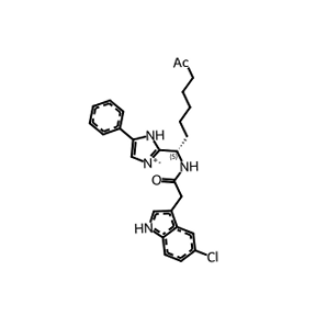 CC(=O)CCCCC[C@H](NC(=O)Cc1c[nH]c2ccc(Cl)cc12)C1=[N+]C=C(c2ccccc2)N1